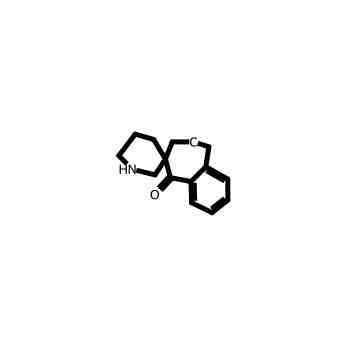 O=C1c2ccccc2CCCC12CCCNC2